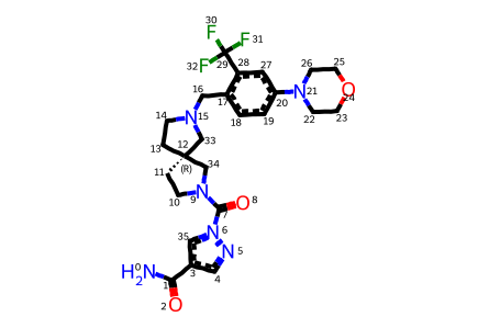 NC(=O)c1cnn(C(=O)N2CC[C@@]3(CCN(Cc4ccc(N5CCOCC5)cc4C(F)(F)F)C3)C2)c1